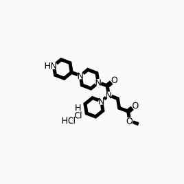 COC(=O)CCN(C(=O)N1CCN(C2CCNCC2)CC1)N1CCCCC1.Cl.Cl